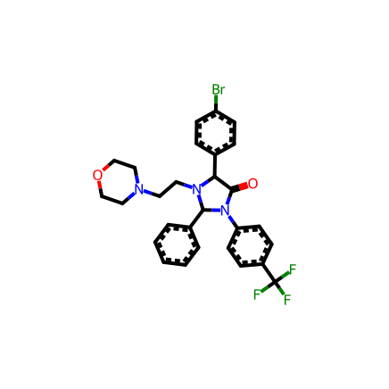 O=C1C(c2ccc(Br)cc2)N(CCN2CCOCC2)C(c2ccccc2)N1c1ccc(C(F)(F)F)cc1